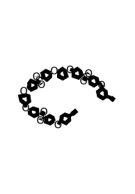 C#Cc1ccc(Oc2ccc(S(=O)(=O)c3ccc(Oc4ccc(Oc5ccc(S(=O)(=O)c6ccc(Oc7cccc(Oc8ccc(S(=O)(=O)c9ccc(Oc%10cccc(C#C)c%10)cc9)cc8)c7)cc6)cc5)cc4)cc3)cc2)cc1